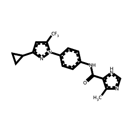 Cc1nc[nH]c1C(=O)Nc1ccc(-n2nc(C3CC3)cc2C(F)(F)F)cc1